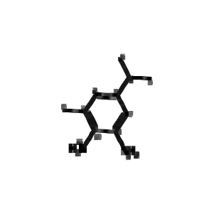 Cc1cc(C(C)C)cc(N)c1N